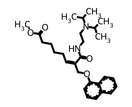 COC(=O)CCCCC=C(COc1cccc2ccccc12)C(=O)NCCN(C(C)C)C(C)C